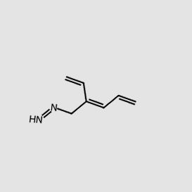 C=C/C=C(\C=C)CN=N